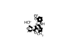 Cc1ccc2c(Nc3cccc(OC(F)(F)F)c3)ncc(C(=O)N3CCOCC3)n12.Cl